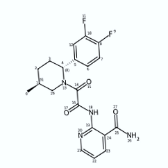 C[C@H]1CC[C@H](c2ccc(F)c(F)c2)N(C(=O)C(=O)Nc2ncccc2C(N)=O)C1